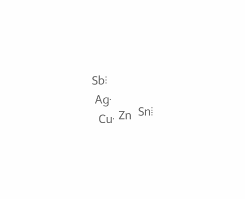 [Ag].[Cu].[Sb].[Sn].[Zn]